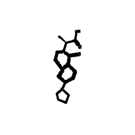 C[C@H](C(=O)O)n1ccc2cc(N3CCCC3)ccc2c1=O